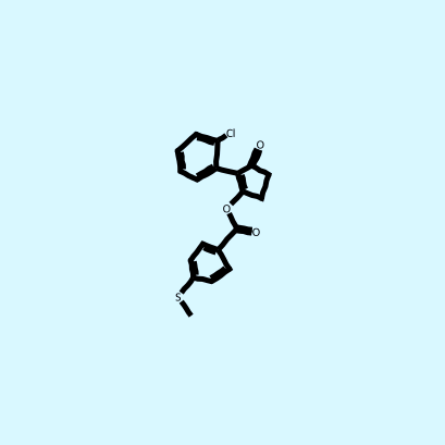 CSc1ccc(C(=O)OC2=C(c3ccccc3Cl)C(=O)CC2)cc1